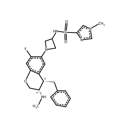 CN[C@@H]1COc2cc(F)c(N3CC(NS(=O)(=O)c4cn(C)cn4)C3)cc2[C@@H]1Cc1ccccc1